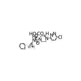 C[C@H]1[C@H](NS(=O)(=O)N2CCN(c3ccc(Cl)nn3)CC2)[C@H]1c1ccccc1.O=C(O)O